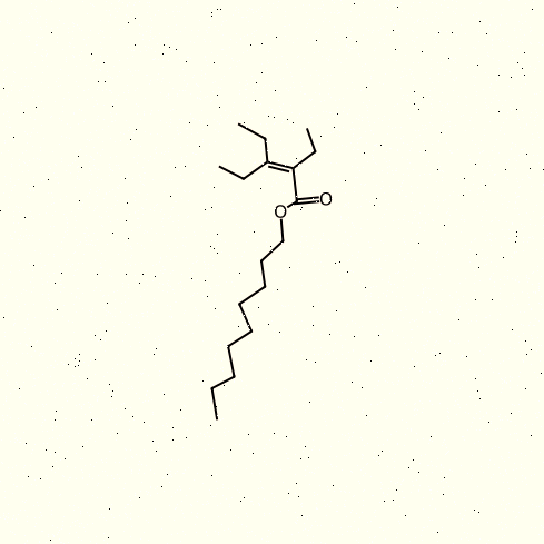 CCCCCCCCCOC(=O)C(CC)=C(CC)CC